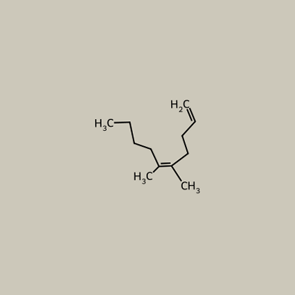 C=CCCC(C)=C(C)CCCC